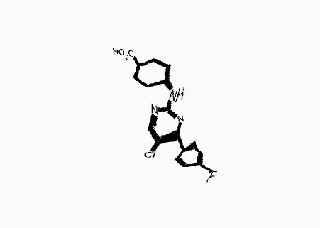 O=C(O)C1CCC(Nc2ncc(Cl)c(-c3ccc(F)cc3)n2)CC1